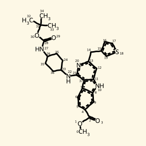 COC(=O)c1ccc2c(c1)[nH]c1cc(Cc3ccsc3)nc(NC3CCC(NC(=O)OC(C)(C)C)CC3)c12